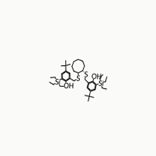 CC[Si](CC)(CC)c1cc(C(C)(C)C)cc(CS[C@H]2CCCCCC[C@@H]2SCc2cc(C(C)(C)C)cc([Si](CC)(CC)CC)c2O)c1O